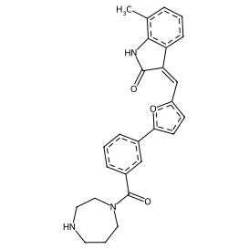 Cc1cccc2c1NC(=O)C2=Cc1ccc(-c2cccc(C(=O)N3CCCNCC3)c2)o1